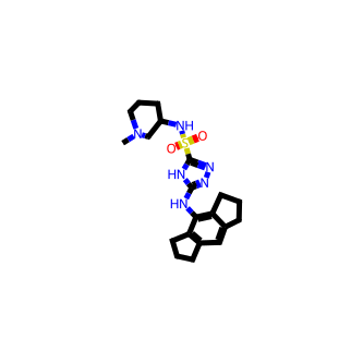 CN1CCCC(NS(=O)(=O)c2nnc(Nc3c4c(cc5c3CCC5)CCC4)[nH]2)C1